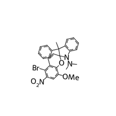 COc1cc([N+](=O)[O-])c(Br)c2c1OC1(C=C2)N(N(C)C)c2ccccc2C1(C)c1ccccc1